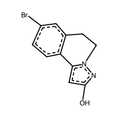 Oc1cc2n(n1)CCc1cc(Br)ccc1-2